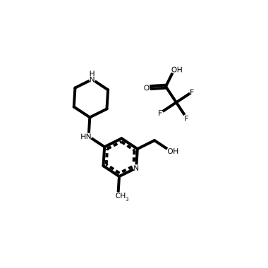 Cc1cc(NC2CCNCC2)cc(CO)n1.O=C(O)C(F)(F)F